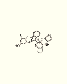 Cc1cnccc1Nc1nc(-c2nn(Cc3c(F)cc(O)cc3F)c3ccccc23)nc2c1CCC2